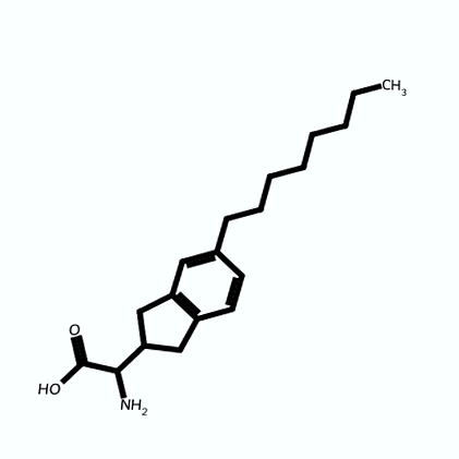 CCCCCCCCc1ccc2c(c1)CC(C(N)C(=O)O)C2